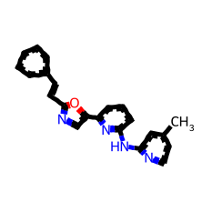 Cc1ccnc(Nc2cccc(-c3cnc(C=Cc4ccccc4)o3)n2)c1